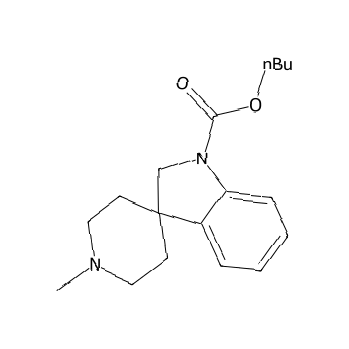 CCCCOC(=O)N1CC2(CCN(C)CC2)c2ccccc21